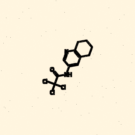 O=C(Nc1cnc2c(c1)CCCC2)C(Cl)(Cl)Cl